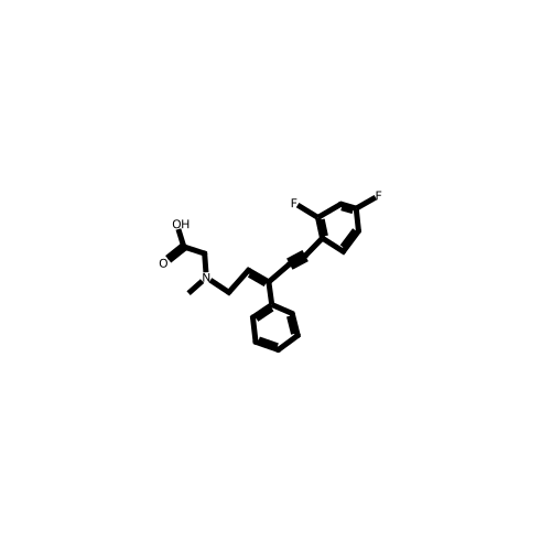 CN(CC=C(C#Cc1ccc(F)cc1F)c1ccccc1)CC(=O)O